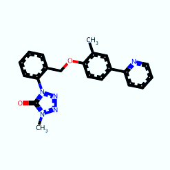 Cc1cc(-c2ccccn2)ccc1OCc1ccccc1-n1nnn(C)c1=O